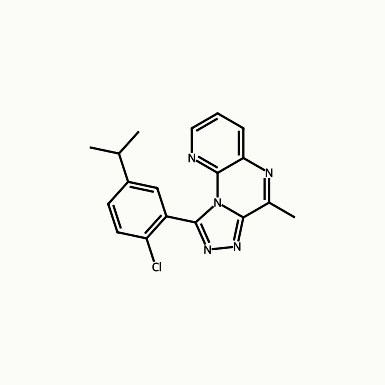 Cc1nc2cccnc2n2c(-c3cc(C(C)C)ccc3Cl)nnc12